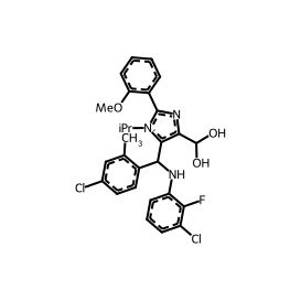 COc1ccccc1-c1nc(C(O)O)c(C(Nc2cccc(Cl)c2F)c2ccc(Cl)cc2C)n1C(C)C